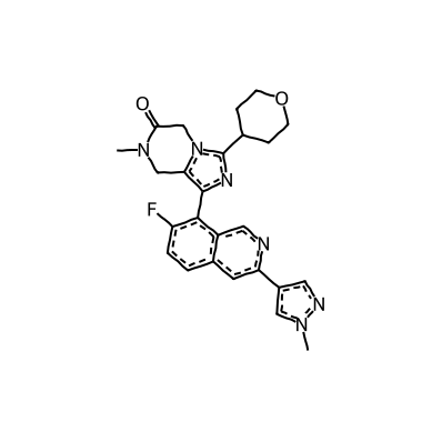 CN1Cc2c(-c3c(F)ccc4cc(-c5cnn(C)c5)ncc34)nc(C3CCOCC3)n2CC1=O